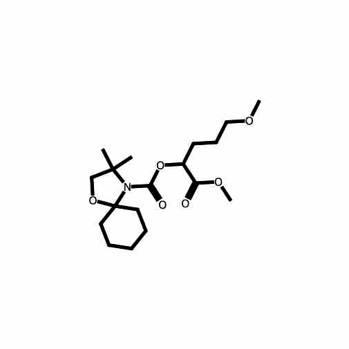 COCCCC(OC(=O)N1C(C)(C)COC12CCCCC2)C(=O)OC